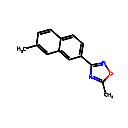 Cc1ccc2ccc(-c3noc(C)n3)cc2c1